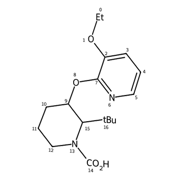 CCOc1cccnc1OC1CCCN(C(=O)O)C1C(C)(C)C